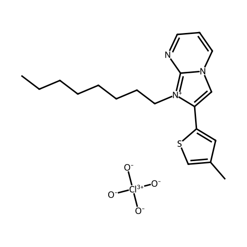 CCCCCCCC[n+]1c(-c2cc(C)cs2)cn2cccnc21.[O-][Cl+3]([O-])([O-])[O-]